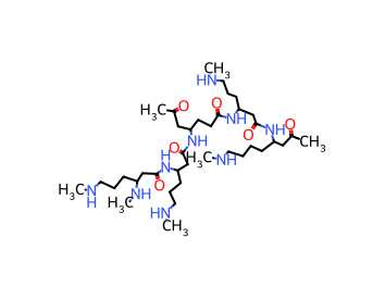 CNCCCCC(CC(C)=O)NC(=O)CC(CCCNC)NC(=O)CCC(CC(C)=O)NC(=O)CC(CCCNC)NC(=O)CC(CCCNC)NC